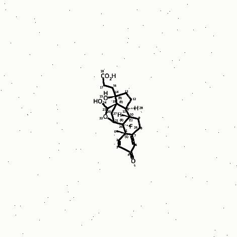 C[C@]12C=CC(=O)C=C1CC[C@H]1[C@@H]3CC[C@@](O)(CCC(=O)O)[C@@]34CC(OC4O)[C@@]12F